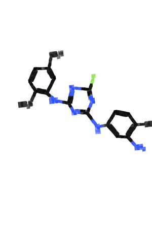 Nc1cc(Nc2nc(F)nc(Nc3cc(S(=O)(=O)O)ccc3S(=O)(=O)O)n2)ccc1S(=O)(=O)O